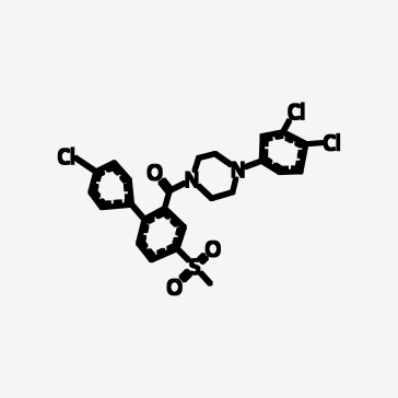 CS(=O)(=O)c1ccc(-c2ccc(Cl)cc2)c(C(=O)N2CCN(c3ccc(Cl)c(Cl)c3)CC2)c1